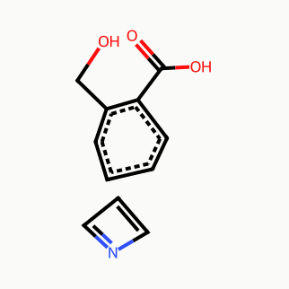 C1=CN=C1.O=C(O)c1ccccc1CO